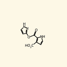 O=C(O)c1cc[nH]c1C(=O)Oc1cc[nH]n1